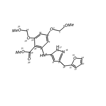 COCOc1cc(Nc2cc(Cc3ccco3)n[nH]2)c(C(=O)OC)c(OCOC)c1